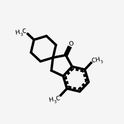 Cc1ccc(C)c2c1CC1(CCC(C)CC1)C2=O